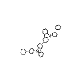 C1=C(c2ccc(-n3c4ccccc4c4cc(-c5ccc6c(c5)c5ccccc5n6-c5cccc(-c6ccccc6)c5)ccc43)cc2)CCCC1